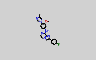 COc1cc(Nc2nccn3cc(-c4ccc(F)cc4)nc23)ccc1-n1cnc(C)c1